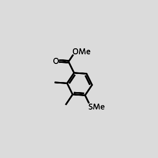 COC(=O)c1ccc(SC)c(C)c1C